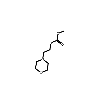 COC(=O)OCCN1CCOCC1